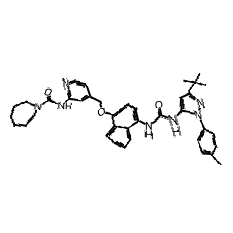 Cc1ccc(-n2nc(C(C)(C)C)cc2NC(=O)Nc2ccc(OCc3ccnc(NC(=O)N4CCCCC4)c3)c3ccccc23)cc1